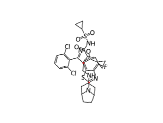 O=C(NS(=O)(=O)C1CC1)c1cc(F)c2nc(N3C4CCC3CC(NCc3c(-c5c(Cl)cccc5Cl)noc3C3CC3)C4)sc2c1